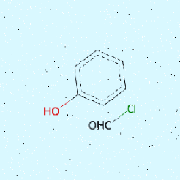 O=CCl.Oc1ccccc1